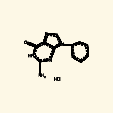 Cl.Nc1nc2c(ncn2-c2ccccc2)c(=O)[nH]1